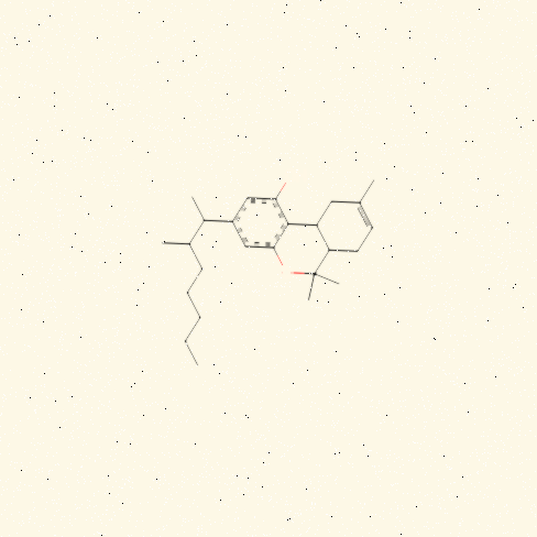 CCCCCC(C)C(C)c1cc(O)c2c(c1)OC(C)(C)C1CC=C(C)CC21